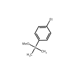 CCc1ccc([Si](C)(C)OC)cc1